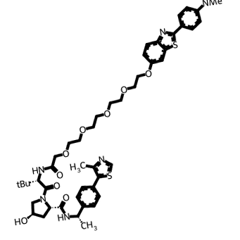 CNc1ccc(-c2nc3ccc(OCCOCCOCCOCCOCC(=O)N[C@H](C(=O)N4C[C@H](O)C[C@H]4C(=O)N[C@@H](C)c4ccc(-c5scnc5C)cc4)C(C)(C)C)cc3s2)cc1